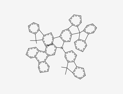 CC1(C)c2ccccc2-c2cc(-c3cc4c(cc3N(c3ccc5c(c3)C(C)(C)c3ccccc3-5)c3ccc5c6ccccc6c6ccccc6c5c3)C3(c5ccccc5-c5ccccc53)c3ccccc3-4)ccc21